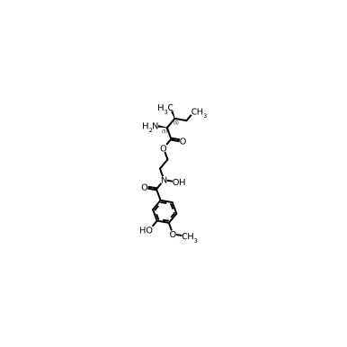 CC[C@H](C)[C@H](N)C(=O)OCCN(O)C(=O)c1ccc(OC)c(O)c1